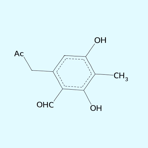 CC(=O)Cc1cc(O)c(C)c(O)c1C=O